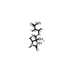 BC12NC(=O)N(C)C1CS[C@H]2CC(C)C(C)C(=O)C(C)C